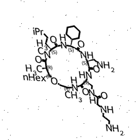 CCCCCC[C@H]1OC[C@@H](C)NC(=O)[C@H](CNC(=O)CNCCN)NC(=O)[C@H](CN)NC(=O)[C@H](C2CCCCC2)NC(=O)[C@H](CCC(C)C)N(C)C(=O)[C@@H]1C